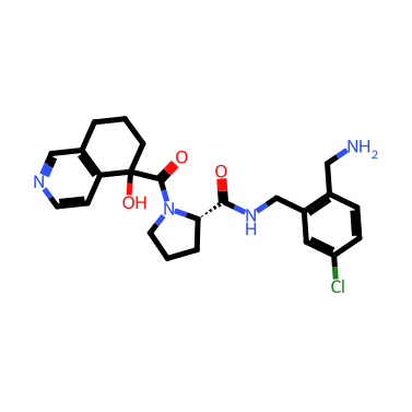 NCc1ccc(Cl)cc1CNC(=O)[C@@H]1CCCN1C(=O)C1(O)CCCc2cnccc21